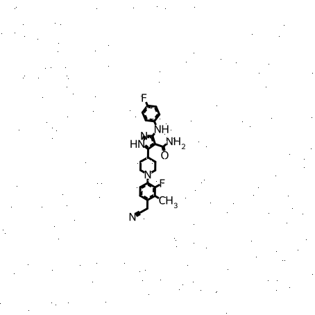 Cc1c(CC#N)ccc(N2CCC(c3[nH]nc(Nc4ccc(F)cc4)c3C(N)=O)CC2)c1F